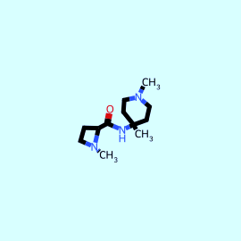 CN1CCC(C)(NC(=O)C2CCN2C)CC1